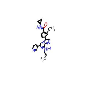 Cc1cc(-c2cnc3c(NCCC(F)(F)F)nc(-c4cccnc4)cn23)ccc1C(=O)NC1CC1